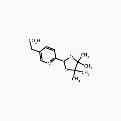 CC1(C)OB(c2ccc(CC(=O)O)cn2)OC1(C)C